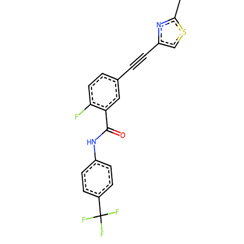 Cc1nc(C#Cc2ccc(F)c(C(=O)Nc3ccc(C(F)(F)F)cc3)c2)cs1